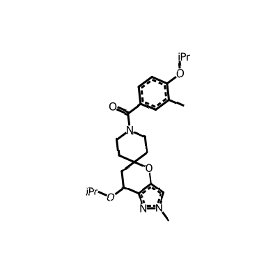 Cc1cc(C(=O)N2CCC3(CC2)CC(OC(C)C)c2nn(C)cc2O3)ccc1OC(C)C